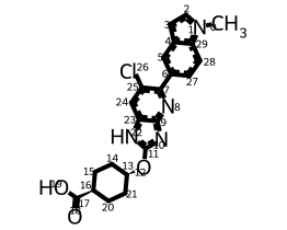 Cn1ccc2cc(-c3nc4nc(O[C@H]5CC[C@H](C(=O)O)CC5)[nH]c4cc3Cl)ccc21